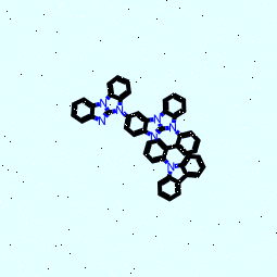 c1ccc(-n2c3ccccc3c3ccccc32)c(-c2ccccc2-n2c3ccccc3n3c4cc(-n5c6ccccc6n6c7ccccc7nc56)ccc4nc23)c1